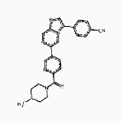 CN1CCN(C(=O)c2ccc(-c3cn4c(-c5ccc(C#N)cc5)cnc4cn3)cn2)CC1